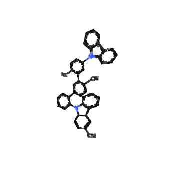 N#CC1=CC2c3ccccc3N(c3ccccc3-c3ccc(C#N)c(-c4cc(-n5c6ccccc6c6ccccc65)ccc4C#N)c3)C2C=C1